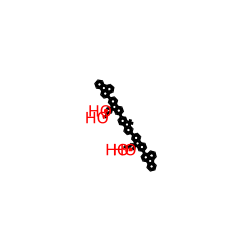 CC1(C)c2cc(-c3ccc4c(c3)C(CO)(CCCO)c3cc(-c5ccc6c7c(cccc57)-c5ccccc5-6)ccc3-4)ccc2-c2ccc(-c3ccc4c(c3)C(CO)(CCCO)c3cc(-c5ccc6c7c(cccc57)-c5ccccc5-6)ccc3-4)cc21